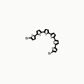 Brc1ccc(-c2ccc(-c3ccc(-c4ccc(-c5ccc(-c6ccc(Br)s6)s5)s4)s3)s2)s1